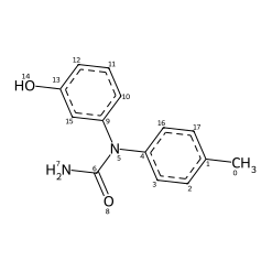 Cc1ccc(N(C(N)=O)c2cccc(O)c2)cc1